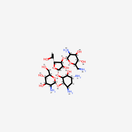 C=C(O)[C@H]1O[C@@H](OC2C(O)[C@H](N)CC(N)[C@H]2O[C@H]2OC(CO)[C@@H](O)C(O)C2N)C(O)C1O[C@H]1OC(CN)[C@@H](O)C(O)C1N